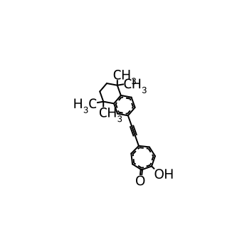 CC1(C)CCC(C)(C)c2cc(C#Cc3ccc(O)c(=O)cc3)ccc21